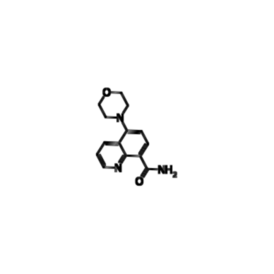 NC(=O)c1ccc(N2CCOCC2)c2cccnc12